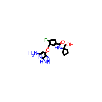 Nc1cc(OCc2cc(C(=O)NC3(CO)CCCC3)ccc2F)c2nn[nH]c2n1